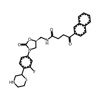 O=C(CCC(=O)c1ccc2ccccc2c1)NC[C@H]1CN(c2ccc(C3CNCCS3)c(F)c2)C(=O)O1